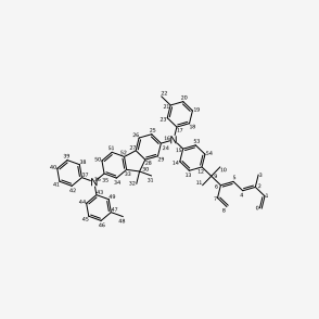 C=C/C(C)=C/C=C(\C=C)C(C)(C)c1ccc(N(c2cccc(C)c2)c2ccc3c(c2)C(C)(C)c2cc(N(c4ccccc4)c4cccc(C)c4)ccc2-3)cc1